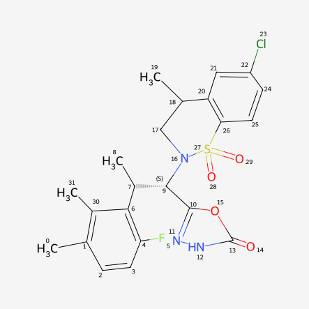 Cc1ccc(F)c(C(C)[C@@H](c2n[nH]c(=O)o2)N2CC(C)c3cc(Cl)ccc3S2(=O)=O)c1C